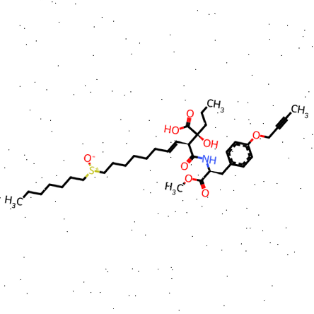 CC#CCOc1ccc(C[C@H](NC(=O)[C@@H](C=CCCCCCC[S+]([O-])CCCCCCC)[C@@](O)(CCC)C(=O)O)C(=O)OC)cc1